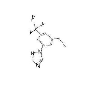 CCc1cc(-n2cncn2)cc(C(F)(F)F)c1